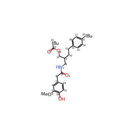 COc1cc(CC(=O)NCC(CCc2ccc(C(C)(C)C)cc2)COC(=O)C(C)(C)C)ccc1O